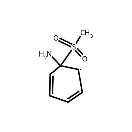 CS(=O)(=O)C1(N)[CH]C=CC=C1